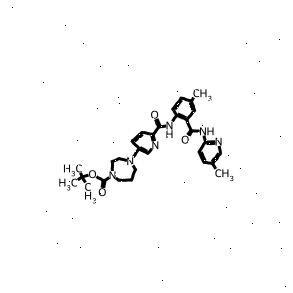 Cc1ccc(NC(=O)c2cc(C)ccc2NC(=O)c2ccc(N3CCCN(C(=O)OC(C)(C)C)CC3)cn2)nc1